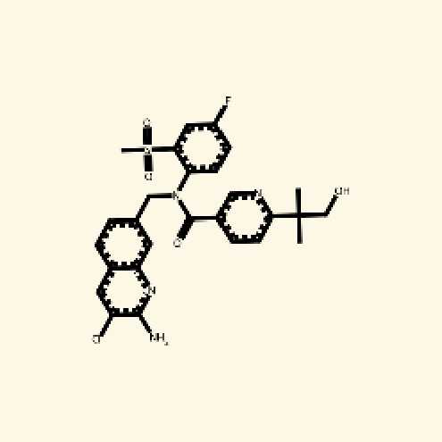 CC(C)(CO)c1ccc(C(=O)N(Cc2ccc3cc(Cl)c(N)nc3c2)c2ccc(F)cc2S(C)(=O)=O)cn1